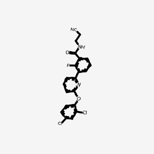 N#CCCNC(=O)c1cccc(-c2cccc(Oc3ccc(Cl)cc3Cl)n2)c1F